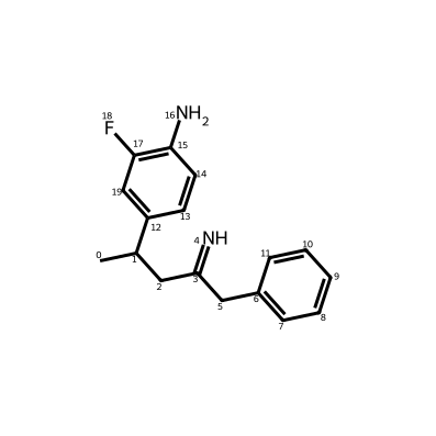 CC(CC(=N)Cc1ccccc1)c1ccc(N)c(F)c1